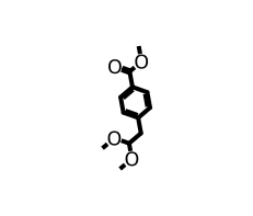 COC(=O)c1ccc(CC(OC)OC)cc1